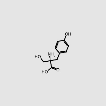 N[C@@](CO)(Cc1ccc(O)cc1)C(=O)O